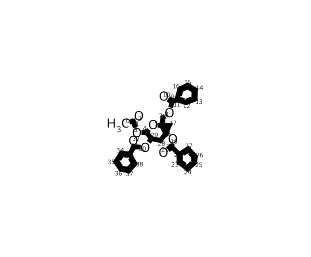 CC(=O)OC1OC2(COC(=O)c3ccccc3)CC2(OC(=O)c2ccccc2)CC1OC(=O)c1ccccc1